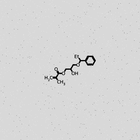 C=C(C)C(=O)OCC(O)COC(CC)c1ccccc1